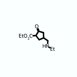 CCNCC1CC(=O)C(C(=O)OCC)C1